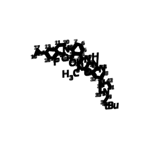 Cn1cc(-c2cccc(-n3ccc4cc(C5CC5)cc(F)c4c3=O)c2CO)nc(Nc2ccc(N3CCN(CCC(C)(C)C)CC3)cn2)c1=O